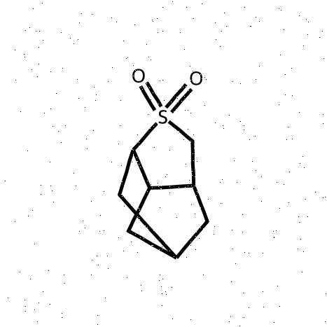 O=S1(=O)CC2CC3CC2C1C3